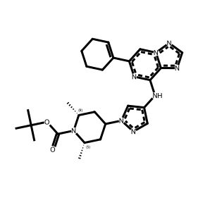 C[C@@H]1CC(n2cc(Nc3nc(C4=CCCCC4)cn4ncnc34)cn2)C[C@H](C)N1C(=O)OC(C)(C)C